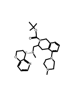 CN1CCN(c2cccc3c2CC(CN(C)[C@H]2CCOc4cccnc42)N(C(=O)OC(C)(C)C)C3)CC1